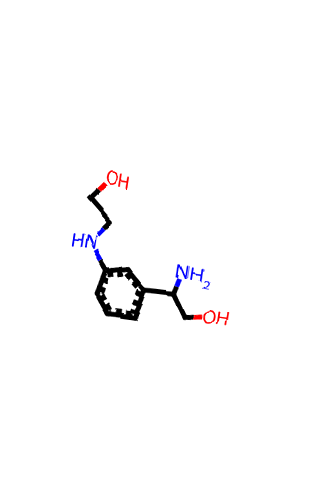 NC(CO)c1cccc(NCCO)c1